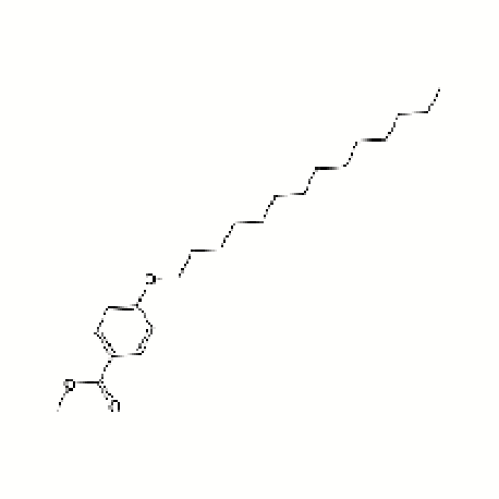 CCCCCCCCCCCCCCOc1ccc(C(=O)OC)cc1